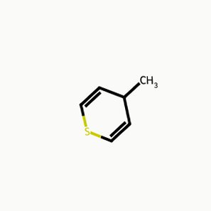 CC1C=CSC=C1